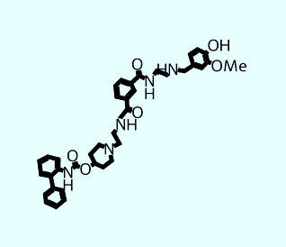 COc1cc(CNCCNC(=O)c2cccc(C(=O)CNCCN3CCC(OC(=O)Nc4ccccc4-c4ccccc4)CC3)c2)ccc1O